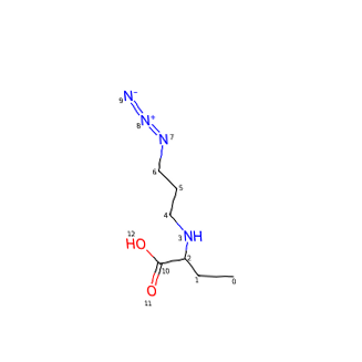 CCC(NCCCN=[N+]=[N-])C(=O)O